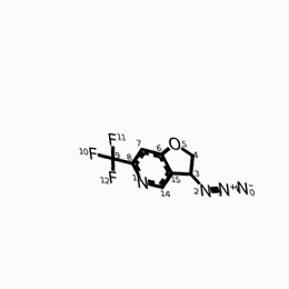 [N-]=[N+]=NC1COc2cc(C(F)(F)F)ncc21